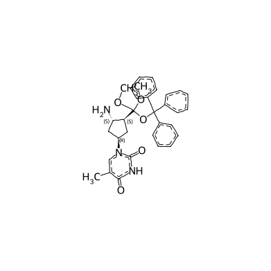 COC(OC)(OC(c1ccccc1)(c1ccccc1)c1ccccc1)[C@H]1C[C@@H](n2cc(C)c(=O)[nH]c2=O)C[C@@H]1N